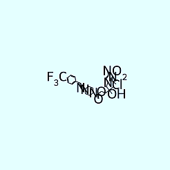 CC(O)(COC(=O)N1CCN(N=Cc2ccc(C(F)(F)F)cc2)CC1)Cn1cc([N+](=O)[O-])nc1Cl